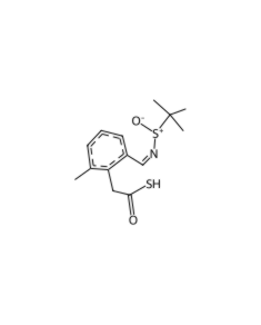 Cc1cccc(/C=N\[S+]([O-])C(C)(C)C)c1CC(=O)S